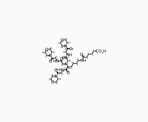 O=C(O)CCCCC(=O)NCCCC[C@@H](C(=O)NCC(=O)N1CCOCC1)N(CC(=O)NCC(=O)N1CCOCC1)CC(=O)NCC(=O)N1CCOCC1